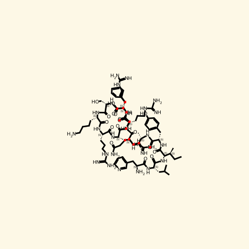 CC[C@H](C)[C@H](NC(=O)[C@H](CC(C)C)NC(=O)[C@@H](N)Cc1cccnc1)C(=O)N[C@@H](Cc1ccc(O)cc1)C(=O)N[C@@H](C)C(=O)N[C@@H](CCC(N)=O)C(=O)NCC(=O)N[C@@H](Cc1ccccc1)C(=O)N[C@@H](CO)C(=O)N[C@@H](CCCCN)C(=O)N[C@@H](CCCNC(=N)N)C(=O)N[C@@H](CCCNC(=N)N)C(=O)N[C@@H](CCCNC(=N)N)C(=O)N[C@@H](CCCNC(=N)N)C(=O)O